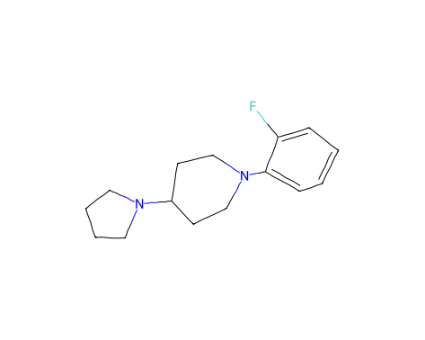 Fc1ccccc1N1CCC(N2CCCC2)CC1